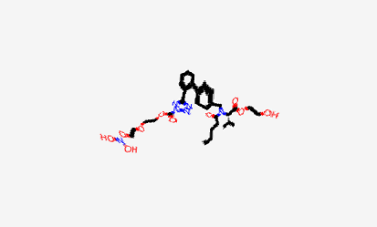 CCCCC(=O)N(Cc1ccc(-c2ccccc2-c2nnn(C(=O)OCCOCCON(O)O)n2)cc1)[C@H](C(=O)OCCO)C(C)C